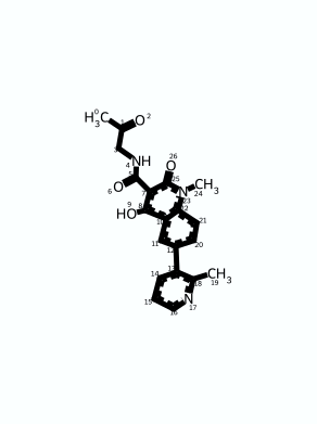 CC(=O)CNC(=O)c1c(O)c2cc(-c3cccnc3C)ccc2n(C)c1=O